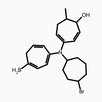 BC1=CC=C(N(C2=CCC(C)C(O)C=C2)C2CCCC(Br)CC2)C=CC1